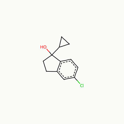 OC1(C2CC2)CCc2cc(Cl)ccc21